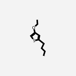 [CH2]CCCc1cc(OCC)cs1